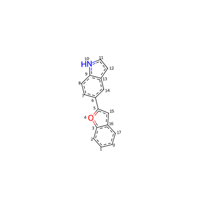 c1ccc2oc(-c3ccc4[nH]ccc4c3)cc2c1